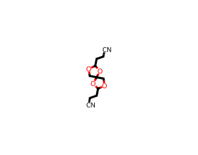 N#CCCC1OCC2(COC(CCC#N)O2)O1